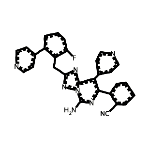 N#Cc1ccccc1-c1nc(N)n2nc(Cc3c(F)cccc3-c3ccncc3)nc2c1-c1ccncc1